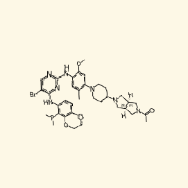 COc1cc(N2CCC(N3C[C@H]4CN(C(C)=O)C[C@H]4C3)CC2)c(C)cc1Nc1ncc(Br)c(Nc2ccc3c(c2P(C)C)OCCO3)n1